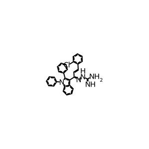 N=C(N)NN=C(C=Cc1ccccc1Cl)c1c(-c2ccccc2)n(-c2ccccc2)c2ccccc12